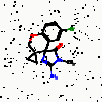 CN1C(=O)C2(N=C1N)c1cc(Br)ccc1OCC21CC1